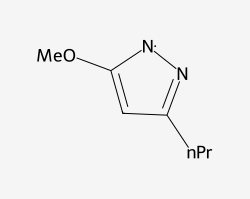 CCCC1=N[N]C(OC)=C1